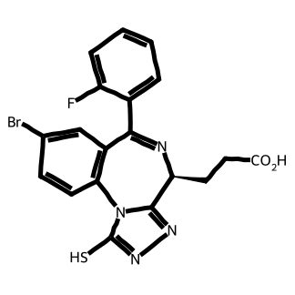 O=C(O)CC[C@@H]1N=C(c2ccccc2F)c2cc(Br)ccc2-n2c(S)nnc21